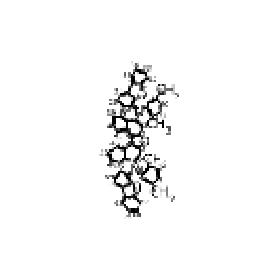 Cc1ccc(C)c(N(c2cc3oc4cc(N(c5cc(C)ccc5C)c5cccc6c5oc5ccccc56)c5ccccc5c4c3c3ccccc23)c2cccc3c2oc2ccccc23)c1